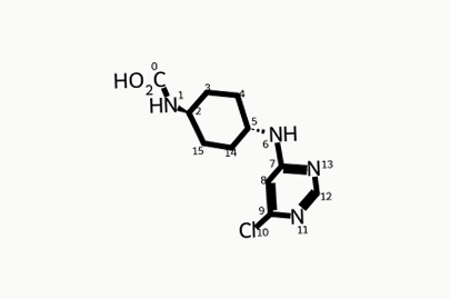 O=C(O)N[C@H]1CC[C@H](Nc2cc(Cl)ncn2)CC1